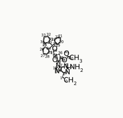 C=Cc1nc(N)nc2c1ncn2[C@@H]1O[C@H](COC(c2ccccc2)(c2ccccc2)c2ccccc2)C[C@H]1OC(C)=O